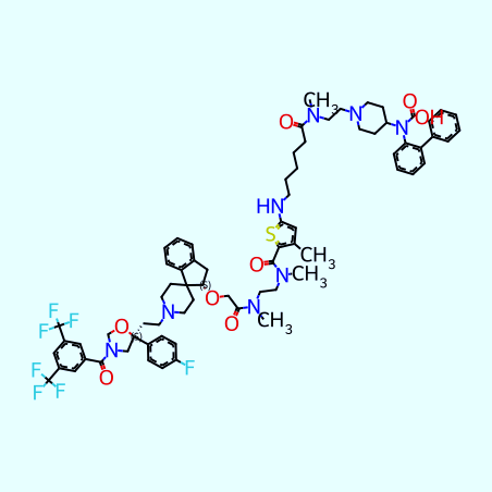 Cc1cc(NCCCCCC(=O)N(C)CCN2CCC(N(C(=O)O)c3ccccc3-c3ccccc3)CC2)sc1C(=O)N(C)CCN(C)C(=O)CO[C@H]1Cc2ccccc2C12CCN(CC[C@]1(c3ccc(F)cc3)CN(C(=O)c3cc(C(F)(F)F)cc(C(F)(F)F)c3)CO1)CC2